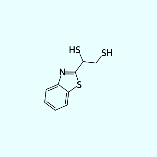 SCC(S)c1nc2ccccc2s1